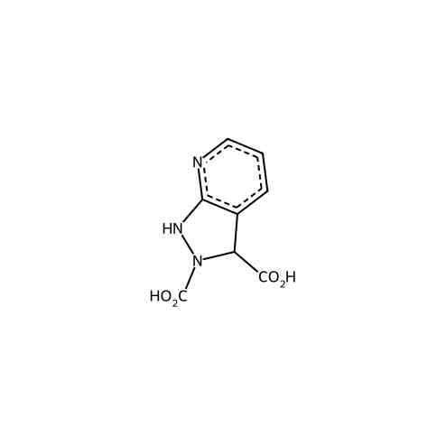 O=C(O)C1c2cccnc2NN1C(=O)O